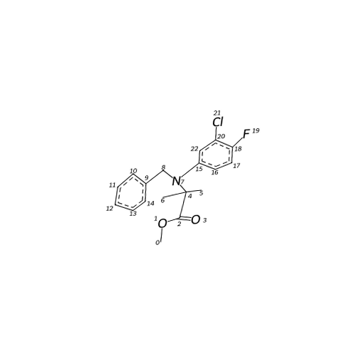 COC(=O)C(C)(C)N(Cc1ccccc1)c1ccc(F)c(Cl)c1